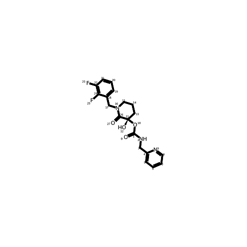 O=C(NCc1ccccn1)O[C@@]1(O)CCCN(Cc2cccc(F)c2F)C1=O